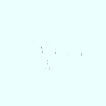 O=[N+]([O-])c1ccc(OS(=O)(=O)O)c(O)c1